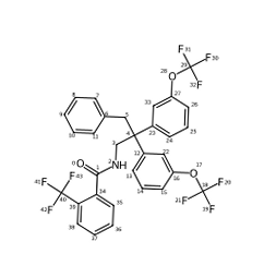 O=C(NCC(Cc1ccccc1)(c1cccc(OC(F)(F)F)c1)c1cccc(OC(F)(F)F)c1)c1ccccc1C(F)(F)F